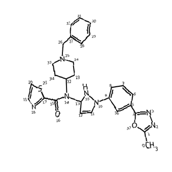 Cc1nnc(-c2cccc(N3C=CC(N(C(=O)c4nccs4)C4CCN(Cc5ccccc5)CC4)N3)c2)o1